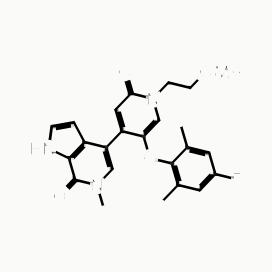 COCCn1cc(Oc2c(C)cc(F)cc2C)c(-c2cn(C)c(=O)c3[nH]ccc23)cc1=O